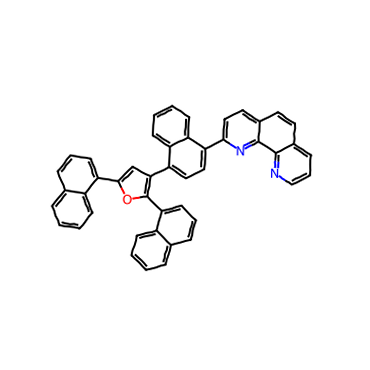 c1ccc2c(-c3cc(-c4ccc(-c5ccc6ccc7cccnc7c6n5)c5ccccc45)c(-c4cccc5ccccc45)o3)cccc2c1